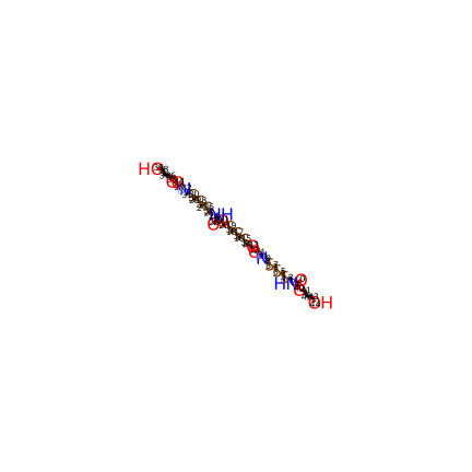 O=C(NCSCSCSC/N=C/OOCSCSCSCOC(=O)NCSCSCSC/N=C/OOCCCO)OCCCO